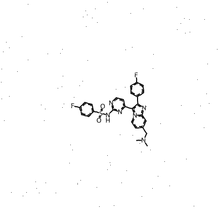 CN(C)Cc1ccn2c(-c3ccnc(NS(=O)(=O)c4ccc(F)cc4)n3)c(-c3ccc(F)cc3)nc2c1